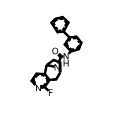 O=C(Nc1cccc(-c2ccccc2)c1)N1C2CCC1c1ccnc(F)c1C2